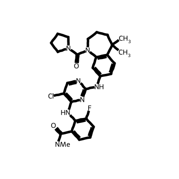 CNC(=O)c1cccc(F)c1Nc1nc(Nc2ccc3c(c2)N(C(=O)N2CCCC2)CCCC3(C)C)ncc1Cl